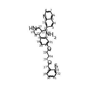 NC(c1ccc2cccnc2c1)C1CNCCC1c1ccc(OCCCOCc2ccccc2F)cc1